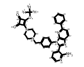 [2H]C([2H])([2H])Oc1c(N2CCN(Cc3ccc(-n4c(-c5cccnc5N)nc5ccc(-c6ccccc6)nc54)cc3)CC2)c(=O)c1=O